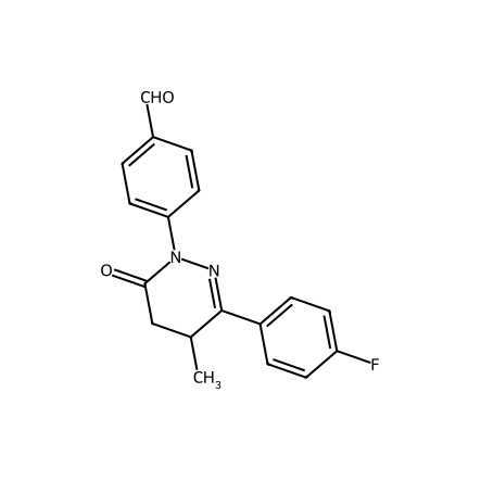 CC1CC(=O)N(c2ccc(C=O)cc2)N=C1c1ccc(F)cc1